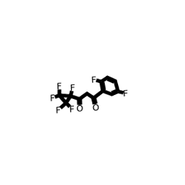 O=C(CC(=O)C1(F)C(F)(F)C1(F)F)c1cc(F)ccc1F